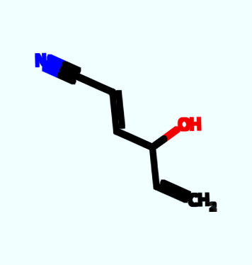 C=CC(O)C=CC#N